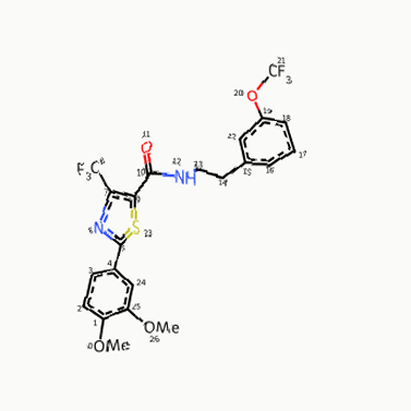 COc1ccc(-c2nc(C(F)(F)F)c(C(=O)NCCc3cccc(OC(F)(F)F)c3)s2)cc1OC